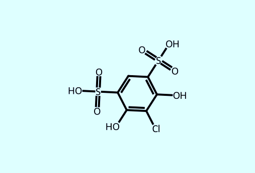 O=S(=O)(O)c1cc(S(=O)(=O)O)c(O)c(Cl)c1O